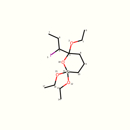 CCOC1(C(I)CC)CCC[Si](OCC)(OCC)O1